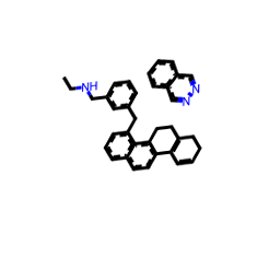 CCNCc1cccc(Cc2cccc3ccc4c(c23)CCC2=C4C=CCC2)c1.c1ccc2cnncc2c1